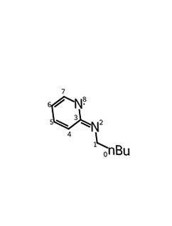 CCCCCN=C1C=CC=C[N]1